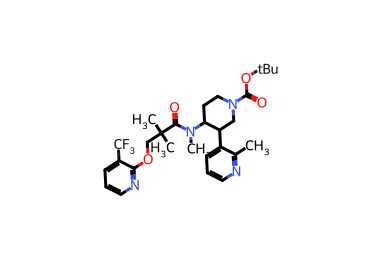 Cc1ncccc1C1CN(C(=O)OC(C)(C)C)CCC1N(C)C(=O)C(C)(C)COc1ncccc1C(F)(F)F